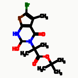 Cc1c(Br)sc2c1C(=O)N(C(C)(C)C(=O)OC(C)(C)C)C(O)N2